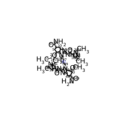 CCCOc1cc(C(N)=O)cc2nc(NC(=O)c3cc(C)nn3CC)n(C/C=C/Cn3c(NC(=O)c4cc(C)nn4CC)nc4cc(C(N)=O)cc(OC)c43)c12